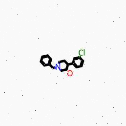 O=C1CN(Cc2ccccc2)CCC1c1cccc(Cl)c1